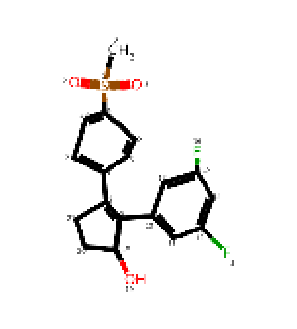 CS(=O)(=O)c1ccc(C2=C(c3cc(F)cc(F)c3)C(O)CC2)cc1